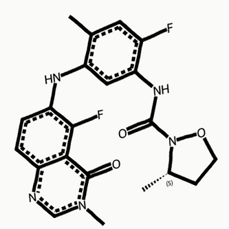 Cc1cc(F)c(NC(=O)N2OCC[C@@H]2C)cc1Nc1ccc2ncn(C)c(=O)c2c1F